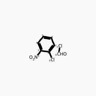 O=CCl.O=[N+]([O-])c1ccccc1Cl